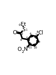 CCSC(=O)Cc1cc(Cl)ccc1[N+](=O)[O-]